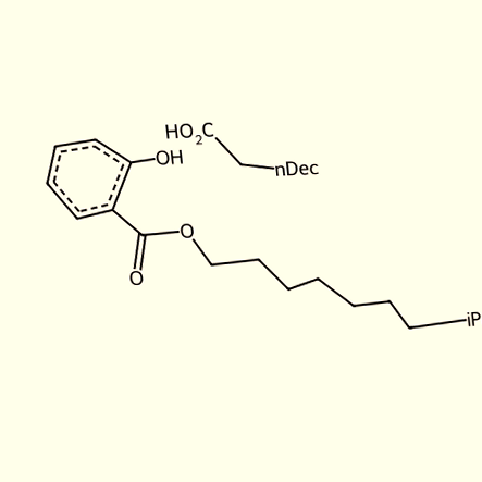 CC(C)CCCCCCCOC(=O)c1ccccc1O.CCCCCCCCCCCC(=O)O